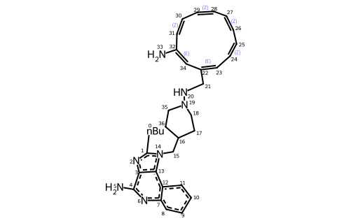 CCCCc1nc2c(N)nc3ccccc3c2n1CC1CCN(NCC2=C/C=C\C=C/C=C\C=C/C(N)=C\2)CC1